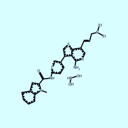 CCN(CC)CC=Cc1cnc(N)c2c(-c3ccc(NC(=O)c4cc5ccccc5n4C)cc3)csc12.OBO